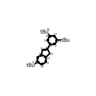 CC(C)(C)c1cc(C2=Cc3cc(C(C)(C)C)ccc3C2)cc(C(C)(C)C)c1